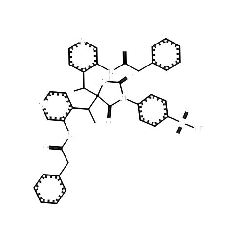 CC(c1ccncc1NC(=O)Cc1ccccc1)C1(C(C)c2ccncc2NC(=O)Cc2ccccc2)NC(=O)N(c2ccc(S(=O)(=O)C(F)(F)F)cc2)C1=O